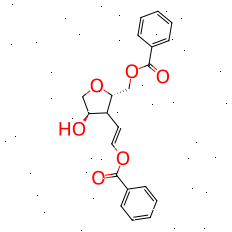 O=C(O/C=C/C1[C@@H](O)CO[C@@H]1COC(=O)c1ccccc1)c1ccccc1